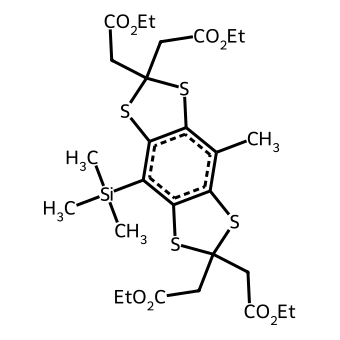 CCOC(=O)CC1(CC(=O)OCC)Sc2c(C)c3c(c([Si](C)(C)C)c2S1)SC(CC(=O)OCC)(CC(=O)OCC)S3